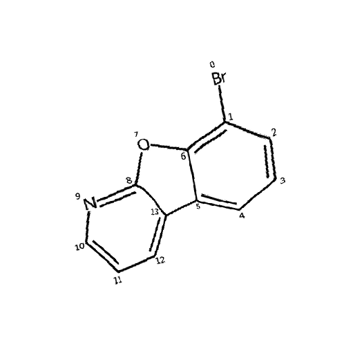 Brc1cccc2c1oc1ncccc12